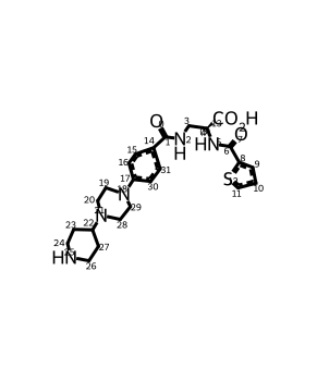 O=C(NC[C@H](NC(=O)c1cccs1)C(=O)O)c1ccc(N2CCN(C3CCNCC3)CC2)cc1